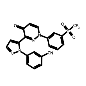 N#Cc1cccc(-n2nccc2-c2nn(-c3cccc(S(=O)(=O)C(F)(F)F)c3)ccc2=O)c1